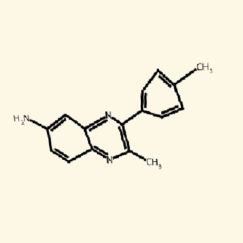 Cc1ccc(-c2nc3cc(N)ccc3nc2C)cc1